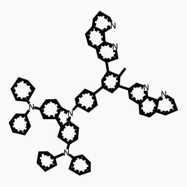 Cc1c(-c2cnc3c(ccc4cccnc43)c2)cc(-c2ccc(-n3c4ccc(N(c5ccccc5)c5ccccc5)cc4c4cc(N(c5ccccc5)c5ccccc5)ccc43)cc2)cc1-c1cnc2c(ccc3cccnc32)c1